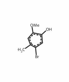 [CH2]c1cc(OC)c(O)cc1Br